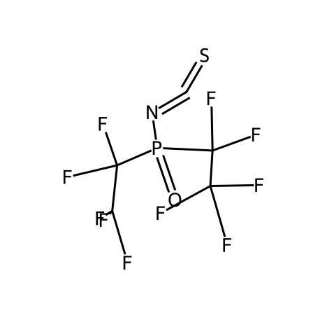 O=P(N=C=S)(C(F)(F)C(F)(F)F)C(F)(F)C(F)(F)F